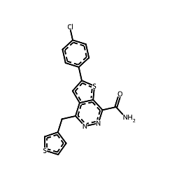 NC(=O)c1nnc(Cc2ccsc2)c2cc(-c3ccc(Cl)cc3)sc12